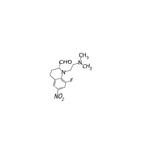 CN(C)CCN1c2c(F)cc([N+](=O)[O-])cc2CCC1C=O